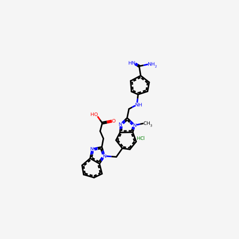 Cl.Cn1c(CNc2ccc(C(=N)N)cc2)nc2cc(Cn3c(CCC(=O)O)nc4ccccc43)ccc21